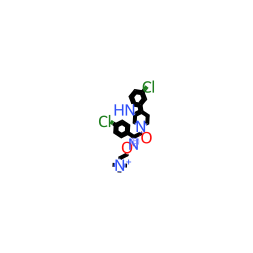 C[N+](C)(C)CCO/N=C(/C(=O)N1CCc2c([nH]c3ccc(Cl)cc23)C1)c1ccc(Cl)cc1